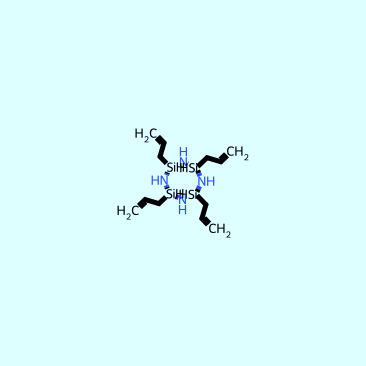 C=CC[SiH]1N[SiH](CC=C)N[SiH](CC=C)N[SiH](CC=C)N1